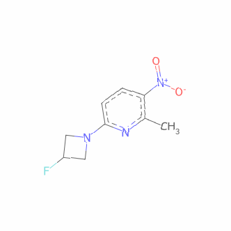 Cc1nc(N2CC(F)C2)ccc1[N+](=O)[O-]